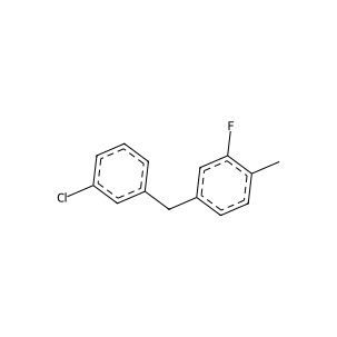 Cc1ccc(Cc2cccc(Cl)c2)cc1F